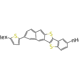 CCCCCCc1ccc2sc3c4cc5cc(-c6ccc(CCCCCC)s6)ccc5cc4sc3c2c1